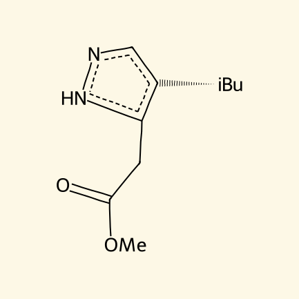 CC[C@@H](C)c1cn[nH]c1CC(=O)OC